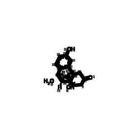 O.O=C1CC[C@@]2(O)[C@H]3Cc4ccc(O)cc4[C@@]2(CCN3)C1